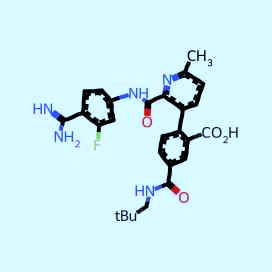 Cc1ccc(-c2ccc(C(=O)NCC(C)(C)C)cc2C(=O)O)c(C(=O)Nc2ccc(C(=N)N)c(F)c2)n1